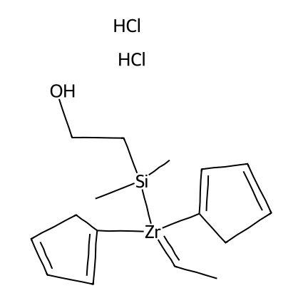 C[CH]=[Zr]([C]1=CC=CC1)([C]1=CC=CC1)[Si](C)(C)CCO.Cl.Cl